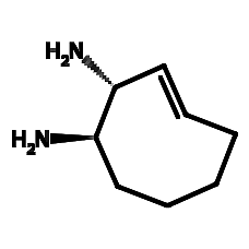 N[C@@H]1/C=C/CCCC[C@H]1N